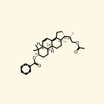 CC(=O)OC[C@@H](C)[C@H]1CCC2=C3C=C[C@H]4C(C)(C)[C@@H](OC(=O)c5ccccc5)CC[C@]4(C)[C@H]3CC[C@@]21C